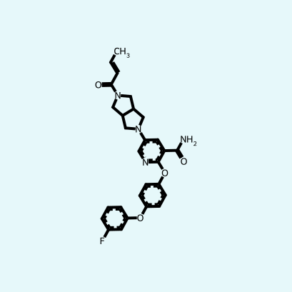 C/C=C/C(=O)N1CC2CN(c3cnc(Oc4ccc(Oc5cccc(F)c5)cc4)c(C(N)=O)c3)CC2C1